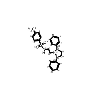 Cc1ccc(S(=O)(=O)NCCP2N(c3ccccc3)CCN2c2ccccc2)cc1